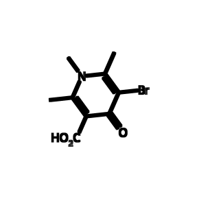 Cc1c(Br)c(=O)c(C(=O)O)c(C)n1C